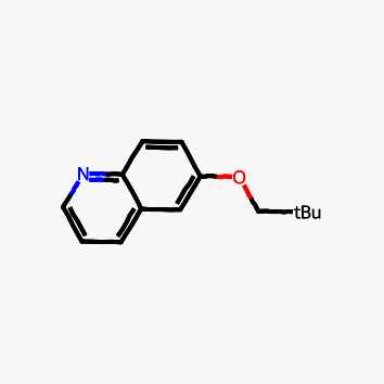 CC(C)(C)COc1ccc2ncccc2c1